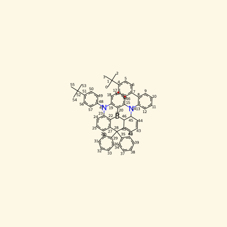 CC(C)(C)c1ccc(-c2ccccc2N2c3cccc4c3B3c5c(cccc5C(c5ccccc5)(c5ccccc5)C5=CC=CC2C35)N4c2ccc(C(C)(C)C)cc2)cc1